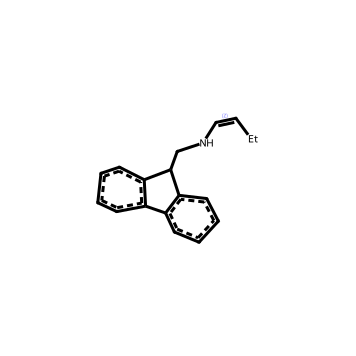 CC/C=C\NCC1c2ccccc2-c2ccccc21